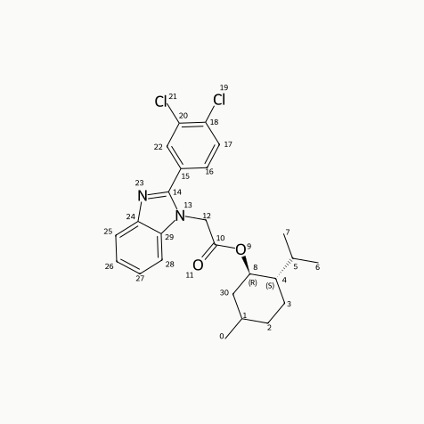 CC1CC[C@@H](C(C)C)[C@H](OC(=O)Cn2c(-c3ccc(Cl)c(Cl)c3)nc3ccccc32)C1